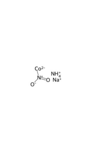 O=[N+]([O-])[Co-2].[NH4+].[Na+]